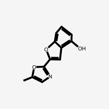 Cc1cnc(-c2cc3c(O)cccc3o2)o1